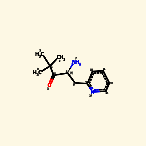 CC(C)(C)C(=O)[C@H](N)Cc1ccccn1